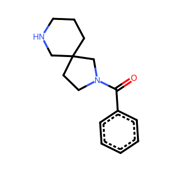 O=C(c1ccccc1)N1CCC2(CCCNC2)C1